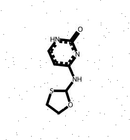 O=c1nc(NC2OCCS2)cc[nH]1